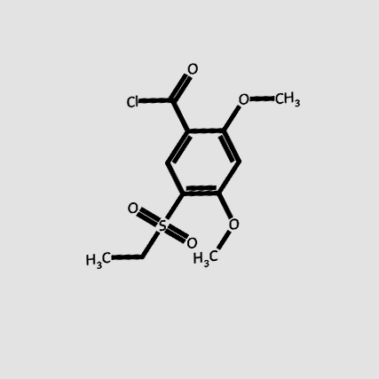 CCS(=O)(=O)c1cc(C(=O)Cl)c(OC)cc1OC